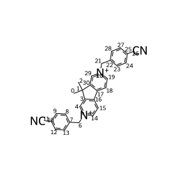 CC1(C)c2c[n+](Cc3ccc(C#N)cc3)ccc2-c2cc[n+](Cc3ccc(C#N)cc3)cc21